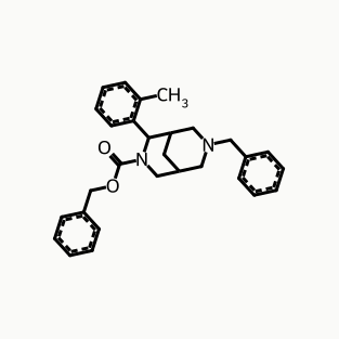 Cc1ccccc1C1C2CC(CN(Cc3ccccc3)C2)CN1C(=O)OCc1ccccc1